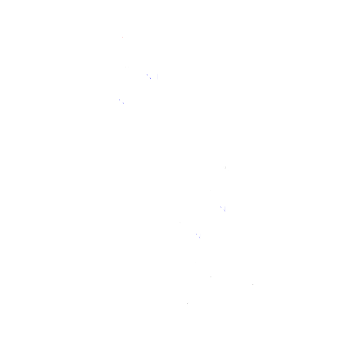 CCCCc1nc(C)n(CC23CC4CC(CC(C4)C2)C3)c(=O)c1Cc1ccc(-c2ccccc2)c(-c2noc(=O)[nH]2)c1